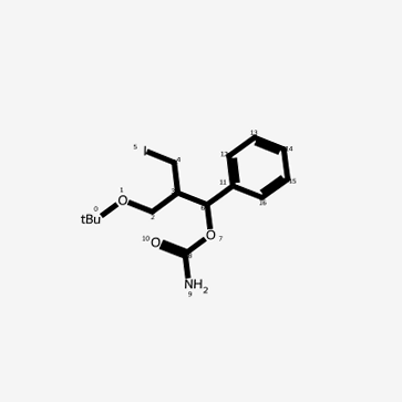 CC(C)(C)OCC(CI)C(OC(N)=O)c1ccccc1